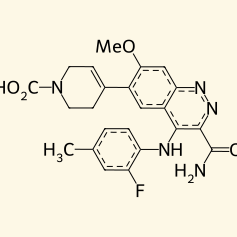 COc1cc2nnc(C(N)=O)c(Nc3ccc(C)cc3F)c2cc1C1=CCN(C(=O)O)CC1